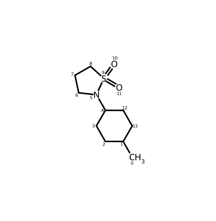 CC1CCC(N2CCCS2(=O)=O)CC1